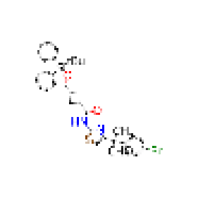 CC(C=O)(c1ccc(Br)cc1)c1csc(NC(=O)C2CC(CO[Si](c3ccccc3)(c3ccccc3)C(C)(C)C)C2)n1